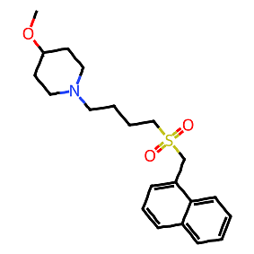 CO[C]1CCN(CCCCS(=O)(=O)Cc2cccc3ccccc23)CC1